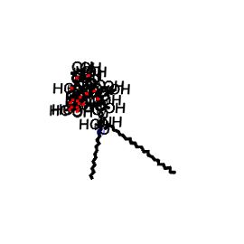 CCCCCCCCCCCCC/C=C/[C@@H](O)[C@H](CO[C@@H]1OC(CO)[C@@H](O[C@@H]2OC(CO)[C@H](O)[C@H](O[C@@H]3OC(CO)[C@@H](O[C@H]4OC(C)[C@@H](O)C(O)[C@@H]4O)[C@H](O[C@@H]4OC(CO)[C@H](O)[C@H](O[C@H]5OC(CO)[C@H](O)[C@H](O)C5NC(C)=O)C4O[C@H]4OC(C)[C@@H](O)C(O)[C@@H]4O)C3NC(C)=O)C2O)[C@H](O)C1O)NC(=O)CCCCCCCCCCCCCCCCCCCCCCC